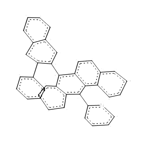 c1ccc(-c2cc3ccccc3cc2-c2c3ccccc3c(-c3ccccn3)c3c2ccc2ccccc23)cc1